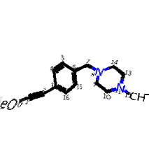 COC#Cc1ccc(CN2CCN(C)CC2)cc1